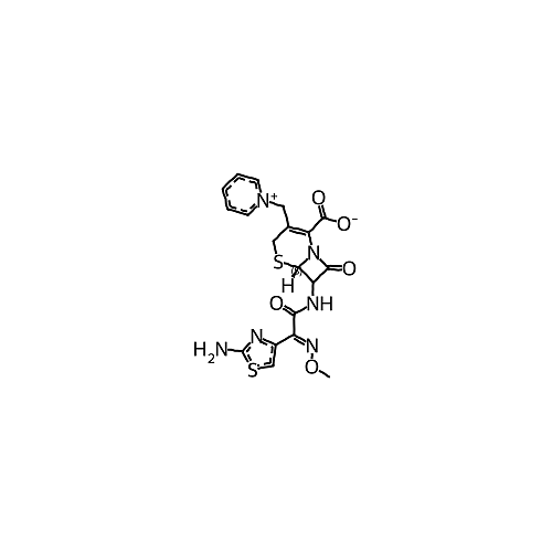 CON=C(C(=O)NC1C(=O)N2C(C(=O)[O-])=C(C[n+]3ccccc3)CS[C@@H]12)c1csc(N)n1